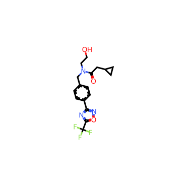 O=C(CC1CC1)N(CCO)Cc1ccc(-c2noc(C(F)(F)F)n2)cc1